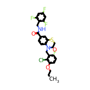 CCCOc1ccc(F)c(CN2C(=O)CSc3cc(C(=O)NCc4c(F)cc(F)cc4F)ccc32)c1Cl